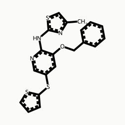 Cc1csc(Nc2ncc(Sc3cccs3)cc2OCc2ccccc2)n1